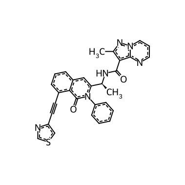 Cc1nn2cccnc2c1C(=O)N[C@@H](C)c1cc2cccc(C#Cc3cscn3)c2c(=O)n1-c1ccccc1